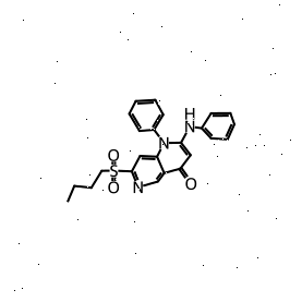 CCCCS(=O)(=O)c1cc2c(cn1)c(=O)cc(Nc1ccccc1)n2-c1ccccc1